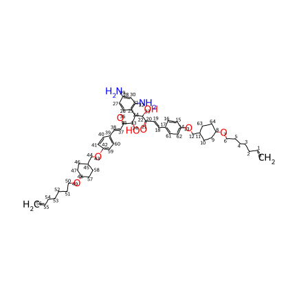 C=CCCCCCOC1CCC(COc2ccc(/C=C/C(=O)C(O)C(c3ccc(N)cc3N)C(O)C(=O)/C=C/c3ccc(OCC4CCC(OCCCCCC=C)CC4)cc3)cc2)CC1